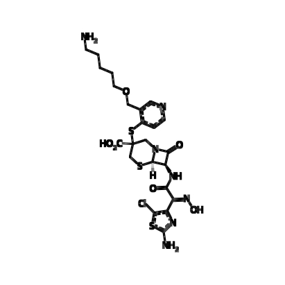 NCCCCCOCc1cnccc1SC1(C(=O)O)CS[C@@H]2[C@H](NC(=O)C(=NO)c3nc(N)sc3Cl)C(=O)N2C1